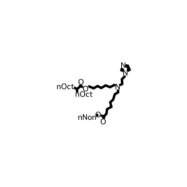 CCCCCCCCCOC(=O)CCCCCCCN(CCCCCCCOC(=O)C(CCCCCCCC)CCCCCCCC)CCCn1ccnc1